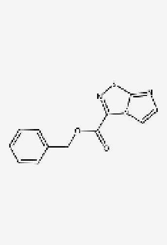 O=C(OCc1ccccc1)c1nsc2nccn12